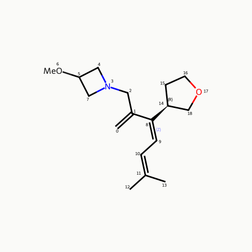 C=C(CN1CC(OC)C1)/C(=C\C=C(C)C)[C@H]1CCOC1